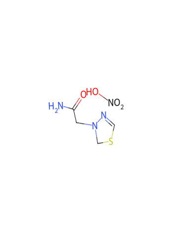 NC(=O)CN1CSC=N1.O=[N+]([O-])O